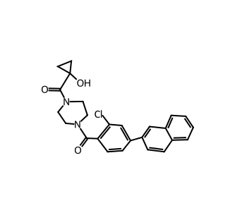 O=C(c1ccc(-c2ccc3ccccc3c2)cc1Cl)N1CCN(C(=O)C2(O)CC2)CC1